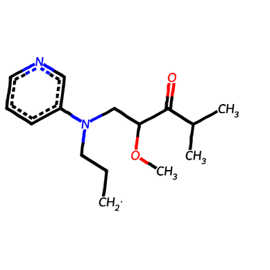 [CH2]CCN(CC(OC)C(=O)C(C)C)c1cccnc1